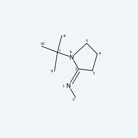 C/N=C1\CCCN1C(C)(C)C